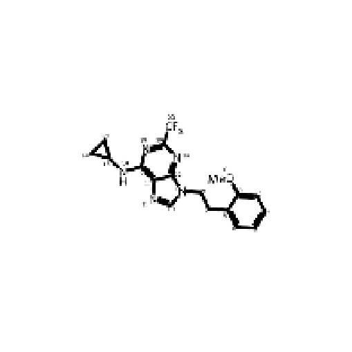 COc1ccccc1CCn1cnc2c(NC3CC3)nc(C(F)(F)F)nc21